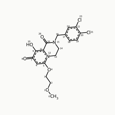 COCCOc1cc(=O)c(O)c2n1CCN(Cc1ccc(Cl)c(Cl)c1)C2=O